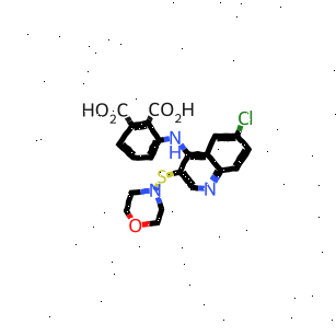 O=C(O)c1cccc(Nc2c(SN3CCOCC3)cnc3ccc(Cl)cc23)c1C(=O)O